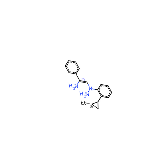 CC[C@H]1CC1c1ccccc1N(N)/C=C(\N)c1ccccc1